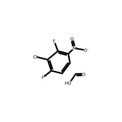 O=CO.O=[N+]([O-])c1ccc(F)c(Cl)c1F